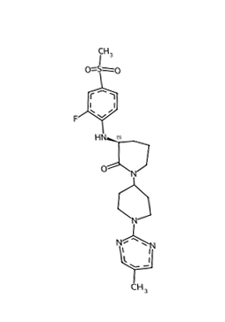 Cc1cnc(N2CCC(N3CCC[C@H](Nc4ccc(S(C)(=O)=O)cc4F)C3=O)CC2)nc1